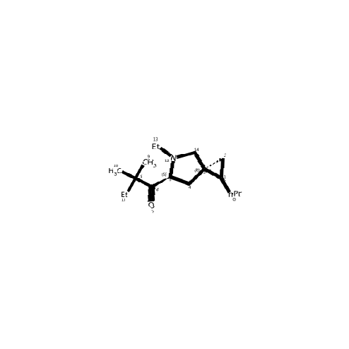 CCCC1C[C@@]12C[C@@H](C(=O)C(C)(C)CC)N(CC)C2